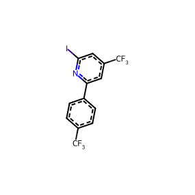 FC(F)(F)c1ccc(-c2cc(C(F)(F)F)cc(I)n2)cc1